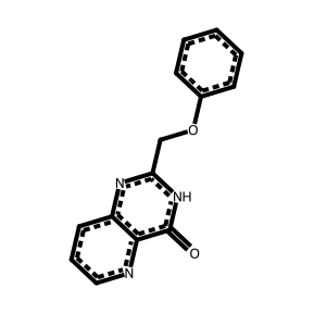 O=c1[nH]c(COc2ccccc2)nc2cccnc12